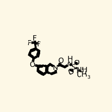 CNS(=O)(=O)NCC(=O)N1CCc2ccc(Oc3ccc(C(F)(F)F)cc3)cc2C1